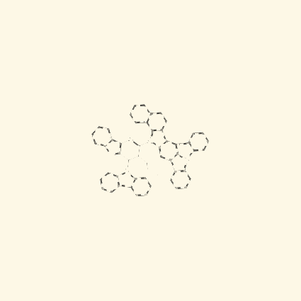 CCC1C(n2c3cc4c5ccccc5n5c6ccccc6c(c3c3ccc6ccccc6c32)c45)=Nc2c(sc3ccccc23)C1n1c2ccccc2c2ccccc21